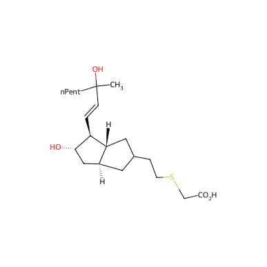 CCCCCC(C)(O)C=C[C@H]1[C@@H]2CC(CCSCC(=O)O)C[C@H]2C[C@@H]1O